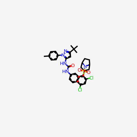 Cc1ccc(-n2nc(C(C)(C)C)cc2NC(=O)Nc2cccc(CC3CC4CCC(C3)N4S(=O)(=O)c3ccc(Cl)cc3Cl)c2)cc1